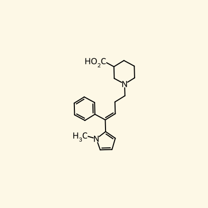 Cn1cccc1C(=CCCN1CCCC(C(=O)O)C1)c1ccccc1